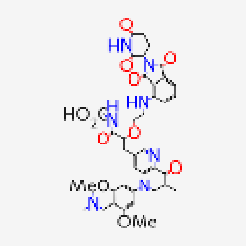 COc1cc(N2CC(C)C(=O)c3ncc(CC(OCCNc4cccc5c4C(=O)N(C4CCC(=O)NC4=O)C5=O)C(=O)NC(=O)O)cc32)cc(OC)c1CN(C)C